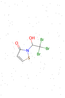 O=c1ccsn1C(O)C(Br)(Br)Br